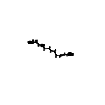 CC(C)(C)C#CCCCCCOCCC(C)(C)C